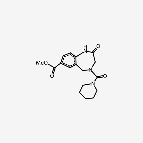 COC(=O)c1ccc2c(c1)CN(C(=O)N1CCCCC1)CC(=O)N2